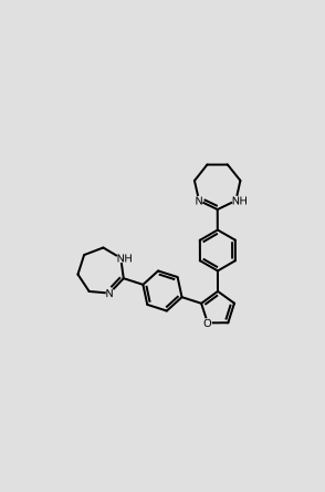 c1cc(-c2ccc(C3=NCCCCN3)cc2)c(-c2ccc(C3=NCCCCN3)cc2)o1